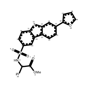 COC(=O)C(NS(=O)(=O)c1ccc2sc3cc(-c4ccco4)ccc3c2c1)C(C)C